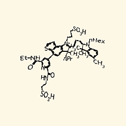 CCCCCCN1/C(=C/C=C/C2=[N+](CCCS(=O)(=O)O)c3c(cc(-c4cc(C(=O)NCC)nc(C(=O)NCCS(=O)(=O)O)c4)c4sccc34)[C@]2(C)CCC)C(C)(C)c2cc(C)ccc21